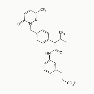 CC(C(C(=O)Nc1cccc(CCC(=O)O)c1)c1ccc(Cn2nc(C(F)(F)F)ccc2=O)cc1)C(F)(F)F